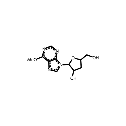 COc1ncnc2c1ncn2C1OC(CO)CC1O